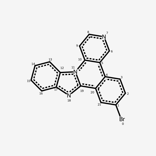 Brc1ccc2c3cnccc3n3c4ccccc4nc3c2c1